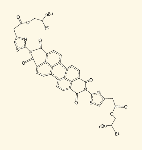 CCCCC(CC)COC(=O)Cc1csc(N2C(=O)c3ccc4c5ccc6c7c(ccc(c8ccc(c3c48)C2=O)c75)C(=O)N(c2nc(CC(=O)OCC(CC)CCCC)cs2)C6=O)n1